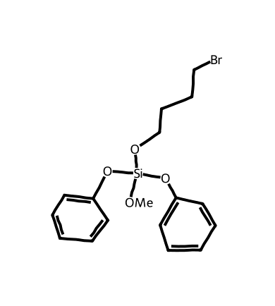 CO[Si](OCCCCBr)(Oc1ccccc1)Oc1ccccc1